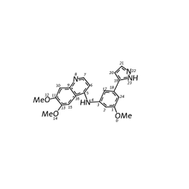 COc1cc(Nc2ccnc3cc(OC)c(OC)cc23)cc(-c2ccn[nH]2)c1